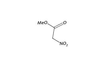 COC(=O)C[N+](=O)[O-]